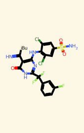 CCC(C)C(=N)c1c(Nc2c(Cl)cc(S(N)(=O)=O)cc2Cl)nc(C(F)(F)c2cccc(F)c2)[nH]c1=O